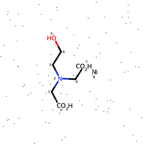 O=C(O)CN(CCO)CC(=O)O.[Ni]